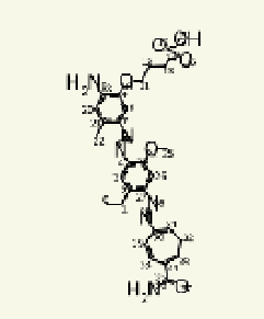 CCc1cc(N=Nc2cc(OCCCS(=O)(=O)O)c(N)cc2C)c(OC)cc1N=NC1=CCC=C(C(N)=O)C=C1